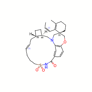 C/C=C\C1=C(C)CCC[C@]12COc1ccc3cc1N(C[C@@H]1CC[C@H]1C/C=C/CCCS(=O)(=O)NC3=O)C2